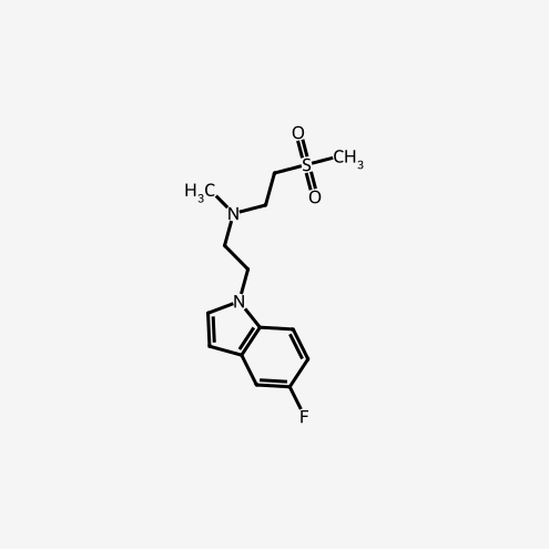 CN(CCn1ccc2cc(F)ccc21)CCS(C)(=O)=O